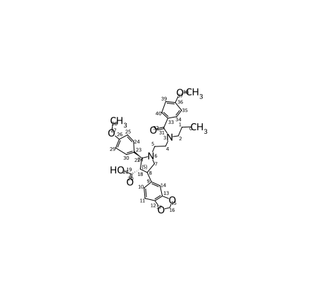 CCCN(CCN1CC(c2ccc3c(c2)OCO3)[C@H](C(=O)O)[C@H]1c1ccc(OC)cc1)C(=O)c1ccc(OC)cc1